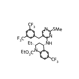 CCOC(=O)N1c2ccc(C(F)(F)F)cc2[C@@H](Nc2nc(SC)ncc2Cc2cc(C(F)(F)F)cc(C(F)(F)F)c2)C[C@H]1CC